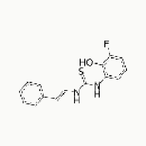 Oc1c(F)cccc1NC(=S)NC=Cc1ccccc1